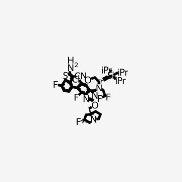 CC(C)[Si](C#C[C@H]1COc2c(Cl)c(-c3ccc(F)c4sc(N)c(C#N)c34)c(F)c3nc(OC[C@@]45CCCN4C[C@H](F)C5)nc(c23)N1CC(F)F)(C(C)C)C(C)C